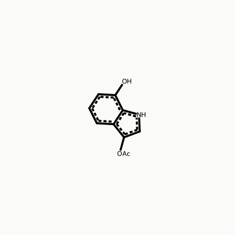 CC(=O)Oc1c[nH]c2c(O)cccc12